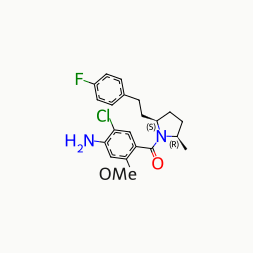 COc1cc(N)c(Cl)cc1C(=O)N1[C@@H](CCc2ccc(F)cc2)CC[C@H]1C